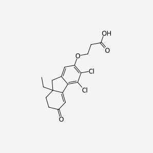 CCC12CCC(=O)C=C1c1c(cc(OCCC(=O)O)c(Cl)c1Cl)C2